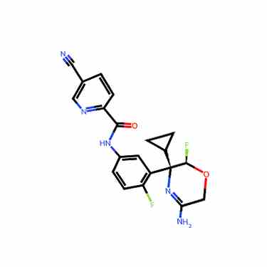 N#Cc1ccc(C(=O)Nc2ccc(F)c([C@@]3(C4CC4)N=C(N)CO[C@@H]3F)c2)nc1